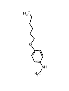 CCCCCCOc1ccc(NC)cc1